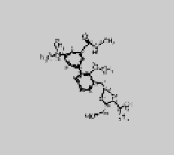 CNC(=O)c1cc(-c2cccc(CN3C[C@H]([C@H](C)O)[C@H](CO)O3)c2OC)cc(N(C)C)c1